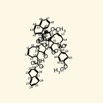 COc1ccc(S(=O)(=O)N2CC=CCC(NS(=O)(=O)c3ccc4ccccc4c3)C2C(=O)OC(=O)C2C(NS(=O)(=O)c3cccc4ccccc34)CC=CCN2S(=O)(=O)c2ccc(OC)cc2)cc1